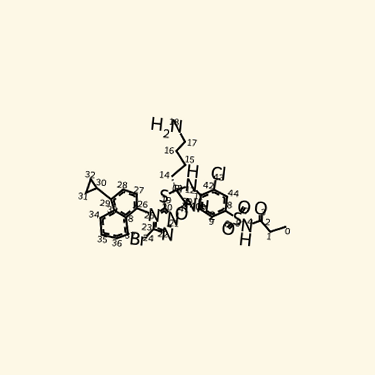 CCC(=O)NS(=O)(=O)c1ccc(N[C@](CCCCN)(Sc2nnc(Br)n2-c2ccc(C3CC3)c3ccccc23)C(N)=O)c(Cl)c1